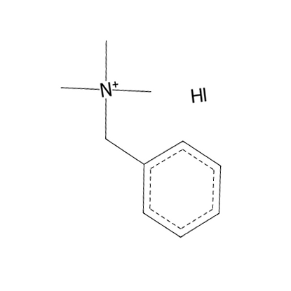 C[N+](C)(C)Cc1ccccc1.I